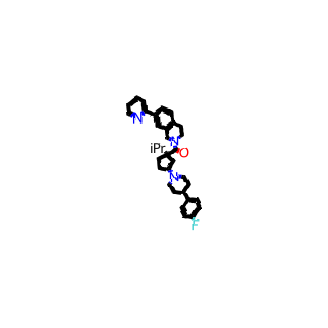 CC(C)[C@]1(C(=O)N2CCc3ccc(-c4ccccn4)cc3C2)CCC(N2CCC(c3ccc(F)cc3)CC2)C1